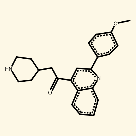 COc1ccc(-c2cc(C(=O)CC3CCNCC3)c3ccccc3n2)cc1